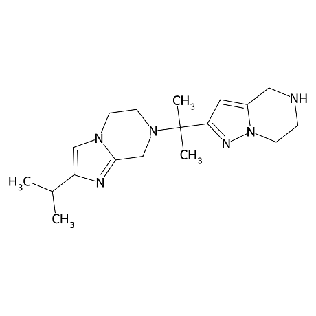 CC(C)c1cn2c(n1)CN(C(C)(C)c1cc3n(n1)CCNC3)CC2